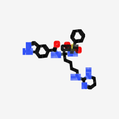 O=C(NC(CCCCNC1N=CCCN1)(NS(=O)(=O)c1ccccc1)C(=O)O)c1ccc2[nH]ncc2c1